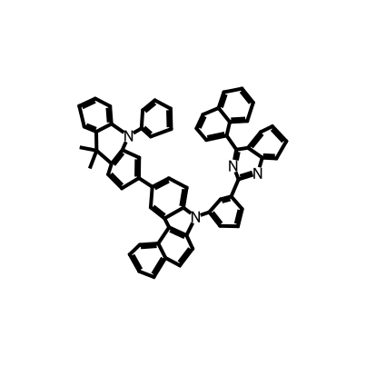 CC1(C)c2ccccc2N(c2ccccc2)c2cc(-c3ccc4c(c3)c3c5ccccc5ccc3n4-c3cccc(-c4nc(-c5cccc6ccccc56)c5ccccc5n4)c3)ccc21